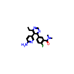 CCc1ncnc(-c2ccc(F)c(C(=O)N(C)C)c2)c1-c1ccc(N)nc1